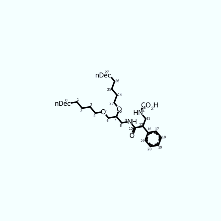 CCCCCCCCCCCCCCOCC(CNC(=O)C(CNC(=O)O)c1ccccc1)OCCCCCCCCCCCCCC